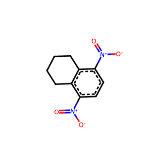 O=[N+]([O-])c1ccc([N+](=O)[O-])c2c1CCCC2